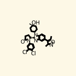 Cc1noc(C)c1-c1ccc2c(c1)nc([C@@H]1CCC(=O)N1c1ccc(Cl)c(Cl)c1)n2[C@H]1CC[C@@](C)(O)CC1